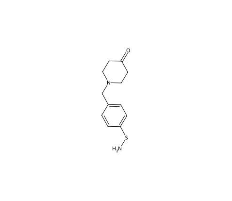 NSc1ccc(CN2CCC(=O)CC2)cc1